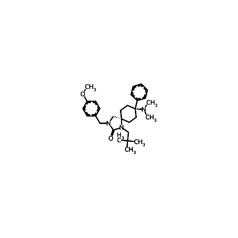 COc1ccc(CN2C[C@]3(CC[C@](c4ccccc4)(N(C)C)CC3)N(CC(C)(C)C)C2=O)cc1